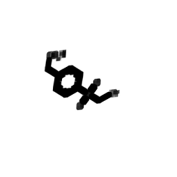 CC(C)CS(=O)(=O)c1ccc(CC(=O)O)cc1